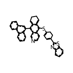 C1=C(Sc2c3c(c(-c4cc5ccccc5c5ccccc45)c4cnccc24)=CCCC=3)CCC(c2nc3ccccc3s2)=C1